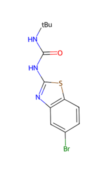 CC(C)(C)NC(=O)Nc1nc2cc(Br)ccc2s1